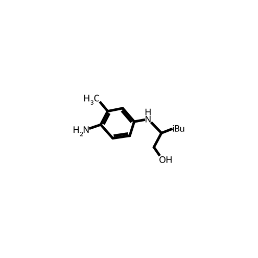 CCC(C)C(CO)Nc1ccc(N)c(C)c1